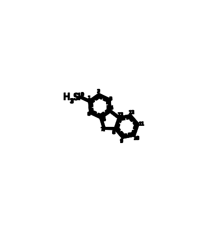 [SiH3]c1ccc2c(c1)[CH]c1ccccc1-2